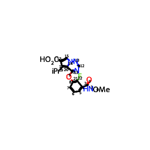 CONC(=O)c1cccc(Oc2ncnn3cc(C(=O)O)c(C(C)C)c23)c1F